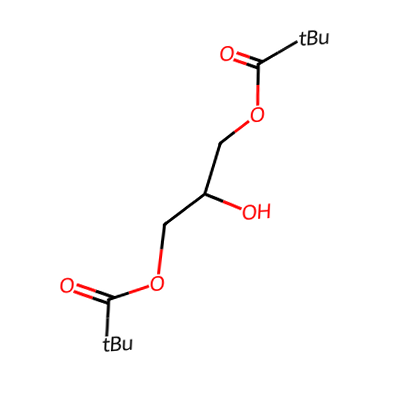 CC(C)(C)C(=O)OCC(O)COC(=O)C(C)(C)C